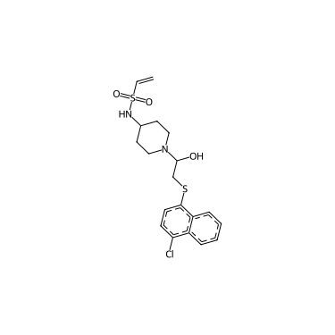 C=CS(=O)(=O)NC1CCN(C(O)CSc2ccc(Cl)c3ccccc23)CC1